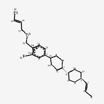 C/C=C/[C@H]1CC[C@H](C2CCC(c3ccc(COCC=CCC)c(F)c3)CC2)CC1